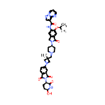 CC(C)Oc1cc2c(cc1NC(=O)c1cnn3cccnc13)CN(C1CCN(CC3(C)CN(c4ccc5c(c4)C(=O)N(C4CCC(O)NC4=O)C5=O)C3)CC1)C2=O